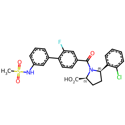 CS(=O)(=O)Nc1cccc(-c2ccc(C(=O)N3[C@@H](c4ccccc4Cl)CC[C@H]3C(=O)O)cc2F)c1